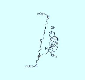 CC(C)CCC[C@@H](C)[C@H]1CC[C@H]2[C@@H]3CC=C4C[C@@H](O)CC[C@]4(C)[C@H]3CC[C@]12C.CCCCCCCC/C=C\CCCCCCCCOCCCCCCCC/C=C\CCCCCCCC